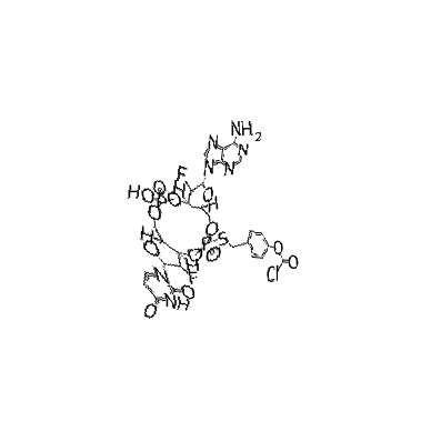 Nc1ncnc2c1ncn2[C@@H]1O[C@@H]2COP(=O)(SCc3ccc(OC(=O)Cl)cc3)O[C@H]3[C@@H](F)[C@H](n4ccc(=O)[nH]c4=O)O[C@@H]3COP(=O)(O)O[C@H]2[C@H]1F